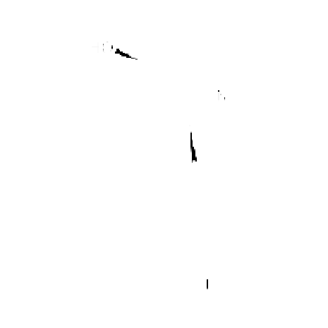 O[C@H]1CCN[C@@H](c2ccc(F)cc2)C1